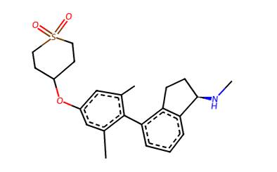 CN[C@@H]1CCc2c(-c3c(C)cc(OC4CCS(=O)(=O)CC4)cc3C)cccc21